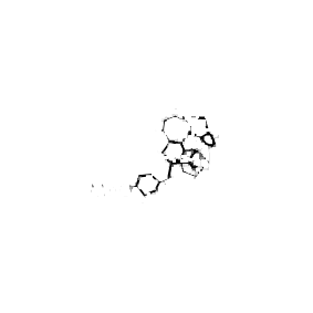 COc1ccc(/C=C/c2cc[n+]3c(c2)-c2c(ccc4c2-c2c5ccccc5cc[n+]2CCC4)CCC3)cc1